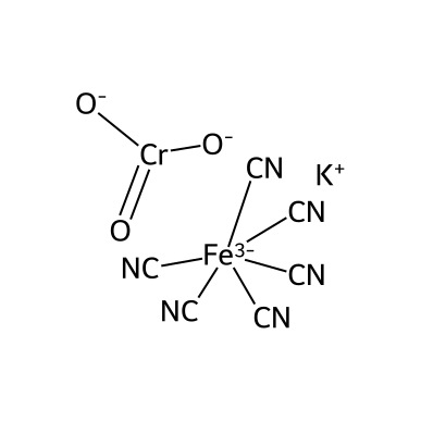 N#[C][Fe-3]([C]#N)([C]#N)([C]#N)([C]#N)[C]#N.[K+].[O]=[Cr]([O-])[O-]